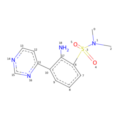 CN(C)S(=O)(=O)c1cccc(-c2ccncn2)c1N